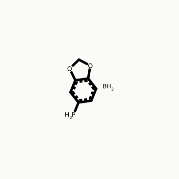 B.Pc1ccc2c(c1)OCO2